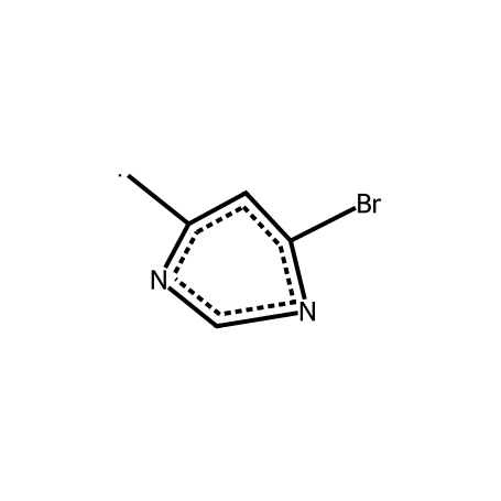 [CH2]c1cc(Br)ncn1